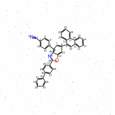 N#Cc1ccc(-c2cc(-c3cc4ccccc4c4ccccc34)cc3oc(-c4ccc(-c5ccccc5)cc4)nc23)cc1